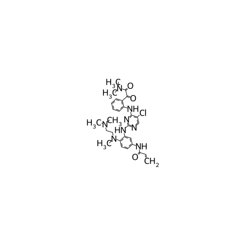 C=CC(=O)Nc1ccc(N(C)CCN(C)C)c(Nc2ncc(Cl)c(Nc3ccccc3C(=O)C(=O)N(C)C)n2)c1